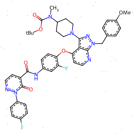 COc1ccc(Cn2nc(N3CCC(N(C)C(=O)OC(C)(C)C)CC3)c3c(Oc4ccc(NC(=O)c5ccnn(-c6ccc(F)cc6)c5=O)cc4F)ccnc32)cc1